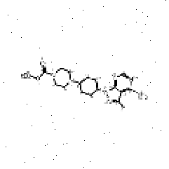 CC(C)(C)OC(=O)N1CCN(C2CCC(n3nc(I)c4c(N)ncnc43)CC2)CC1